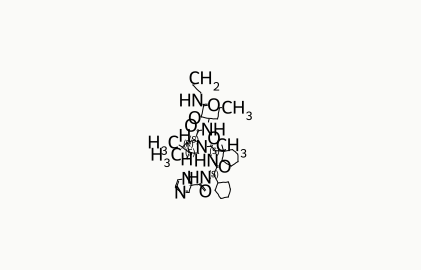 C=CCNC(=O)C(=O)C(CCC)NC(=O)[C@@H]1[C@@H]2[C@H](CN1C(=O)[C@@H](NC(=O)[C@@H](NC(=O)c1cnccn1)C1CCCCC1)C1(C)CCCCC1)C2(C)C